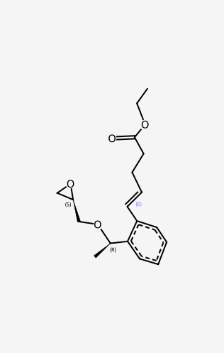 CCOC(=O)CC/C=C/c1ccccc1[C@@H](C)OC[C@H]1CO1